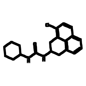 O=C(NC1CCCCC1)NC1Cc2cccc3ccc(Cl)c(c23)C1